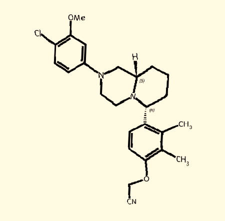 COc1cc(N2CCN3[C@@H](CCC[C@@H]3c3ccc(OCC#N)c(C)c3C)C2)ccc1Cl